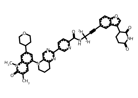 [2H]C([2H])(C#Cc1ccc2occ(C3CCC(=O)NC3=O)c2c1)NC(=O)c1ccc(-c2ncc3c(n2)CCCN3c2cc(C3CCOCC3)cc3c2cc(C)c(=O)n3C)cn1